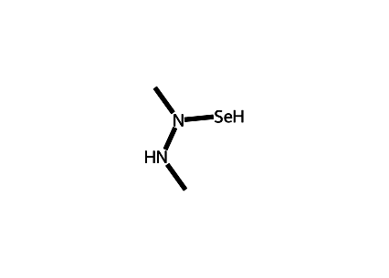 CNN(C)[SeH]